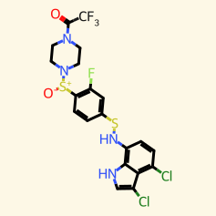 O=C(N1CCN([S+]([O-])c2ccc(SNc3ccc(Cl)c4c(Cl)c[nH]c34)cc2F)CC1)C(F)(F)F